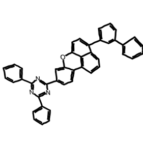 c1ccc(-c2cccc(-c3ccc4c5c(cccc35)-c3ccc(-c5nc(-c6ccccc6)nc(-c6ccccc6)n5)cc3O4)c2)cc1